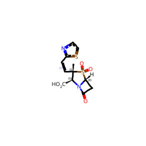 C[C@]1(/C=C\c2nccs2)[C@H](C(=O)O)N2C(=O)C[C@H]2S1(=O)=O